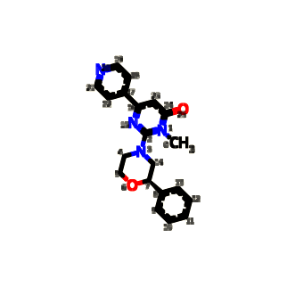 Cn1c(N2CCO[C@H](c3ccccc3)C2)nc(-c2ccncc2)cc1=O